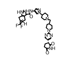 C[C@@]12Cc3[nH]nc(C(=O)Nc4cnn(C5CCN(CC6CCN(c7ncc([C@H]8CCC(=O)NC8=O)cn7)CC6)CC5)c4)c3C[C@@H]1C2(F)F